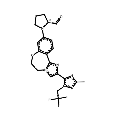 Cc1nc(-c2cn3c(n2)-c2ccc(N4CCC[C@H]4C=O)cc2OCC3)n(CC(F)(F)F)n1